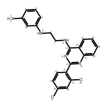 Nc1cccc(NCCNc2nc(-c3ccc(Cl)cc3Cl)nc3ccccc23)c1